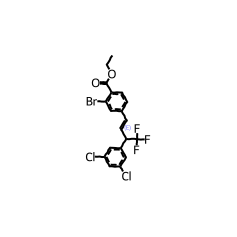 CCOC(=O)c1ccc(/C=C/C(c2cc(Cl)cc(Cl)c2)C(F)(F)F)cc1Br